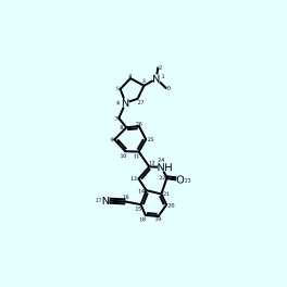 CN(C)C1CCN(Cc2ccc(-c3cc4c(C#N)cccc4c(=O)[nH]3)cc2)C1